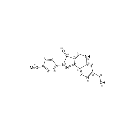 COc1ccc(-n2nc3c4cnc(CO)cc4[nH]cc-3c2=O)cc1